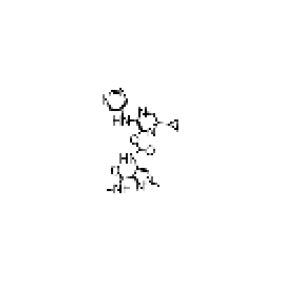 CNC(=O)c1nn(C)cc1NC(=O)Oc1nc(C2CC2)cnc1Nc1cncnc1